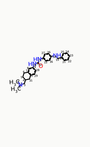 CN(C)CC1CCc2cc(NC(=O)Nc3ccc(NCc4ccccc4)cc3)ccc2C1